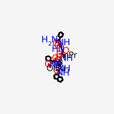 CCCC(NC(=O)[C@@H]1C[C@@H](NC(=O)Nc2cccc3ccccc23)CN1C(=O)[C@@H](NC(=O)OCC(C)C)C1CCCCC1)C(=O)C(=O)NCC(=O)N[C@H](C(N)=O)c1ccccc1